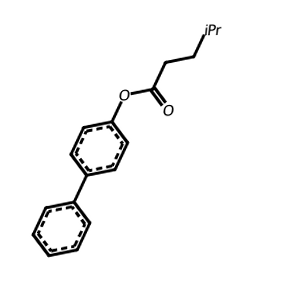 CC(C)CCC(=O)Oc1ccc(-c2ccccc2)cc1